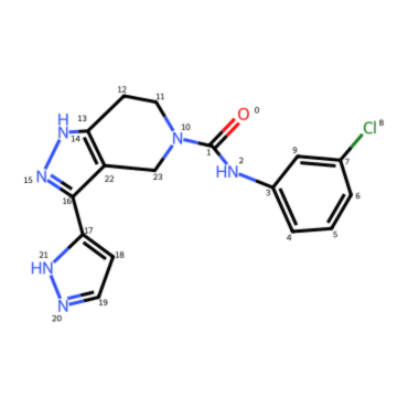 O=C(Nc1cccc(Cl)c1)N1CCc2[nH]nc(-c3ccn[nH]3)c2C1